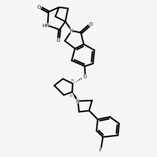 O=C1NC(=O)C2(N3Cc4cc(O[C@H]5CCC[C@@H]5N5CC(c6cccc(F)c6)C5)ccc4C3=O)CC1C2